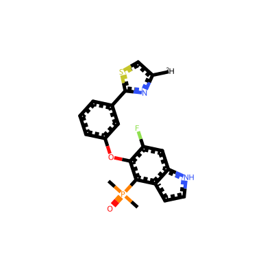 [2H]c1csc(-c2cccc(Oc3c(F)cc4[nH]ccc4c3P(C)(C)=O)c2)n1